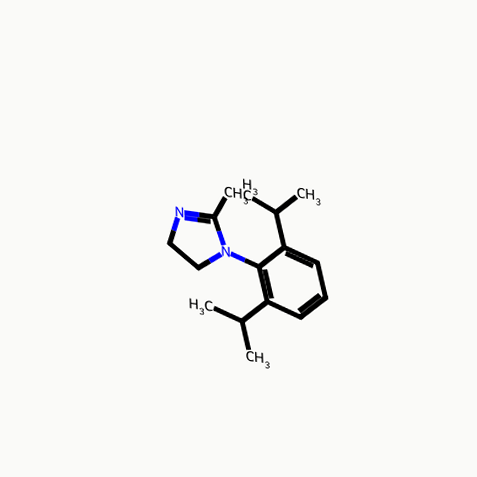 CC1=NCCN1c1c(C(C)C)cccc1C(C)C